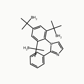 BC(C)(C)c1cc(C(B)(C)C)c(-n2ccnc2-c2ccccc2)c(C(B)(C)C)c1